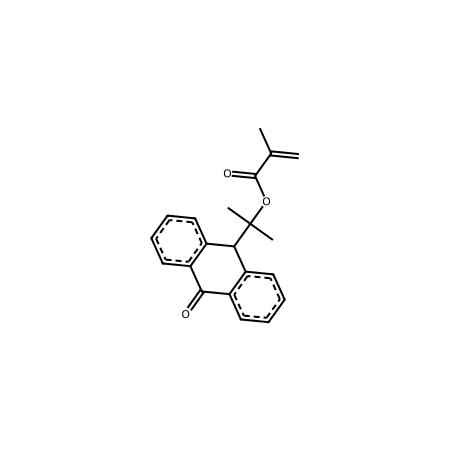 C=C(C)C(=O)OC(C)(C)C1c2ccccc2C(=O)c2ccccc21